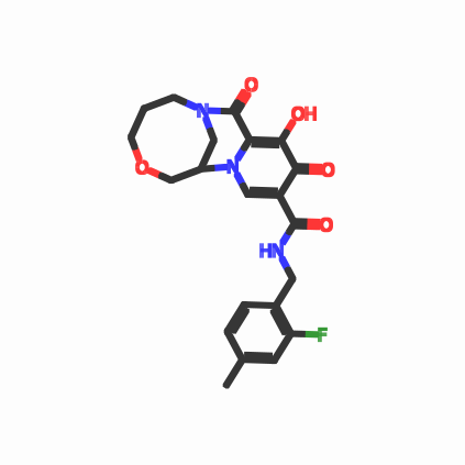 Cc1ccc(CNC(=O)c2cn3c(c(O)c2=O)C(=O)N2CCCOCC3C2)c(F)c1